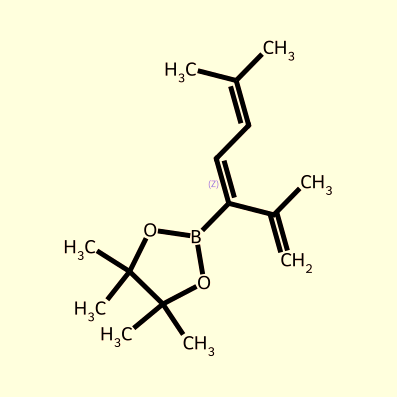 C=C(C)/C(=C\C=C(C)C)B1OC(C)(C)C(C)(C)O1